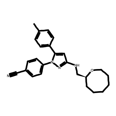 Cc1ccc(-c2cc(NC[C@@H]3CCCCCCO3)nn2-c2ccc(C#N)cc2)cc1